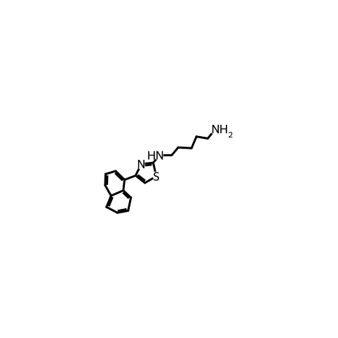 NCCCCCNc1nc(-c2cccc3ccccc23)cs1